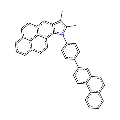 Cc1c(C)n(-c2ccc(-c3ccc4c(ccc5ccccc54)c3)cc2)c2c1cc1ccc3cccc4ccc2c1c34